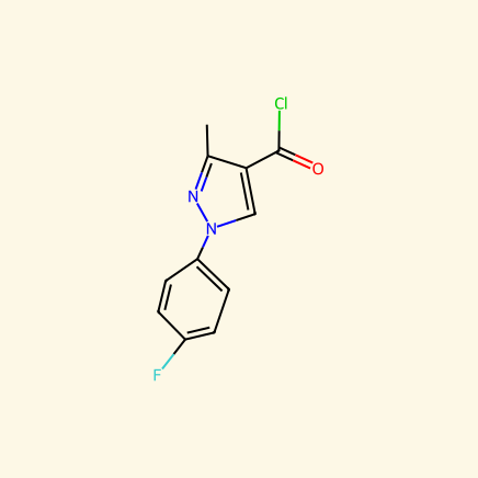 Cc1nn(-c2ccc(F)cc2)cc1C(=O)Cl